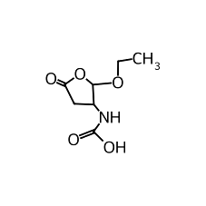 CCOC1OC(=O)CC1NC(=O)O